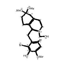 COc1cc(Br)c(CC2C3=C(CCN2CO)CC(OC)(OC)CC3)c(Br)c1O